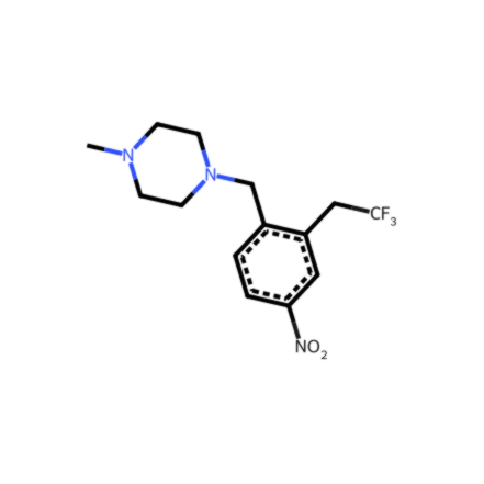 CN1CCN(Cc2ccc([N+](=O)[O-])cc2CC(F)(F)F)CC1